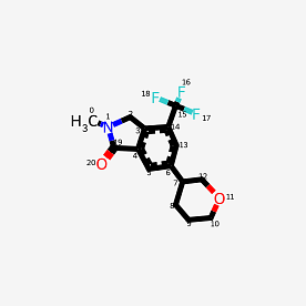 CN1Cc2c(cc(C3CCCOC3)cc2C(F)(F)F)C1=O